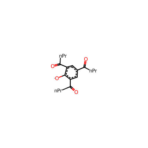 CCCC(=O)c1cc(C(=O)CCC)c([O])c(C(=O)CCC)c1